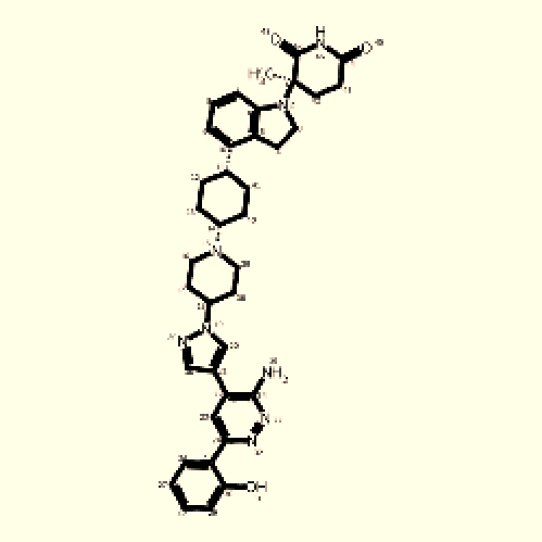 C[C@@]1(N2CCc3c2cccc3[C@H]2CC[C@@H](N3CCC(n4cc(-c5cc(-c6ccccc6O)nnc5N)cn4)CC3)CC2)CCC(=O)NC1=O